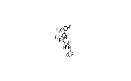 Cc1ccc(F)cc1-c1cc(C(F)(F)F)c(NC2C[C@@H]3CN(CC4COCCO4)C[C@@H]3C2)nn1